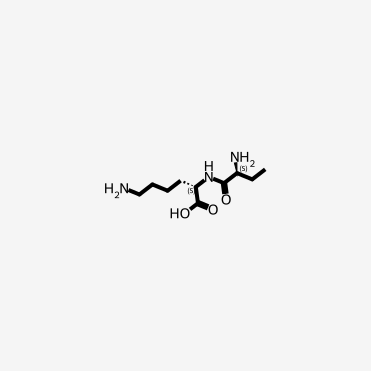 CC[C@H](N)C(=O)N[C@@H](CCCCN)C(=O)O